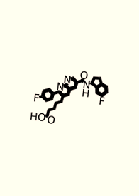 O=C(O)CCCCc1cc2cc(C(=O)N[C@@H]3CCc4ccc(F)cc43)cnc2nc1-c1ccc(F)cc1